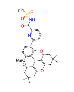 CCCS(=O)(=O)NC(=O)c1cccc(-c2ccc(OC)c(C3C4=C(CC(C)(C)CC4=O)OC4=C3C(=O)CC(C)(C)C4)c2C)n1